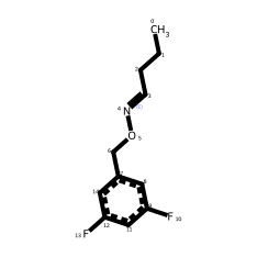 CCC/[C]=N/OCc1cc(F)cc(F)c1